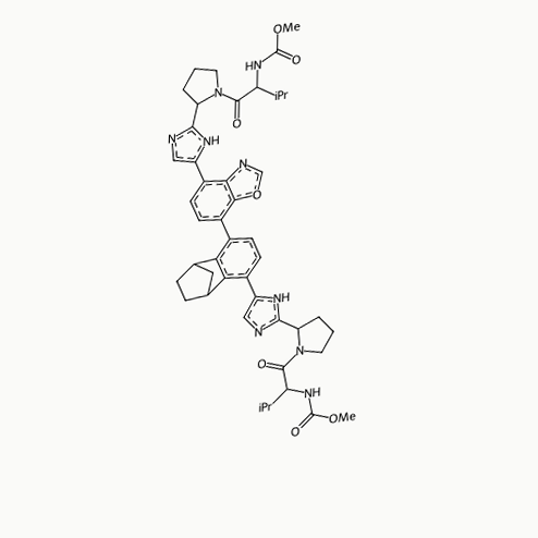 COC(=O)NC(C(=O)N1CCCC1c1ncc(-c2ccc(-c3ccc(-c4cnc(C5CCCN5C(=O)C(NC(=O)OC)C(C)C)[nH]4)c4ncoc34)c3c2C2CCC3C2)[nH]1)C(C)C